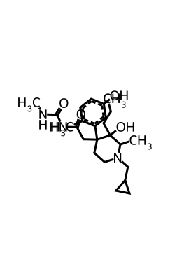 CCCC1(O)C(C)N(CC2CC2)CCC1(CC(=O)NC(=O)NC)c1cc(O)ccc1C